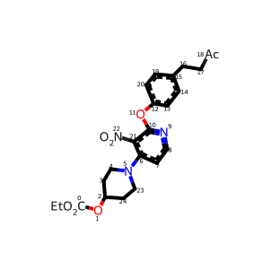 CCOC(=O)OC1CCN(c2ccnc(Oc3ccc(CCC(C)=O)cc3)c2[N+](=O)[O-])CC1